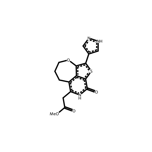 COC(=O)Cc1[nH]c(=O)c2sc(-c3cn[nH]c3)c3c2c1CCCO3